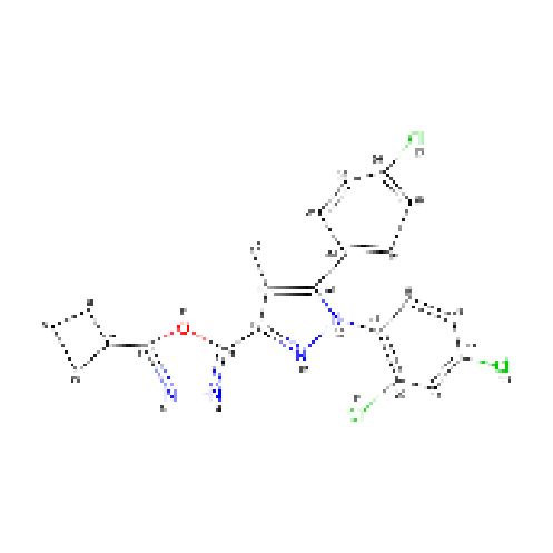 Cc1c(-c2nnc(C3CCC3)o2)nn(-c2ccc(Cl)cc2Cl)c1-c1ccc(Cl)cc1